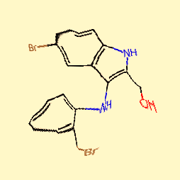 OCc1[nH]c2ccc(Br)cc2c1Nc1ccccc1Br